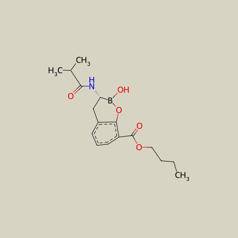 CCCCOC(=O)c1cccc2c1OB(O)[C@@H](NC(=O)C(C)C)C2